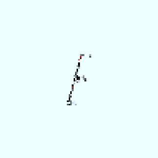 CCCCCCCCCCCCCCCCC(CCCCCCCCCCCCCCCC)C(N)=O